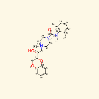 CC[N+]1(CC(O)C2COc3ccccc3O2)CCN(C(=O)N(C)c2c(C)cccc2C)CC1